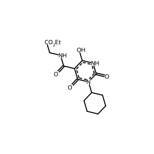 CCOC(=O)CNC(=O)c1c(O)[nH]c(=O)n(C2CCCCC2)c1=O